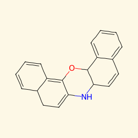 C1=CC2=C3OC4c5ccccc5C=CC4NC3=CCC2C=C1